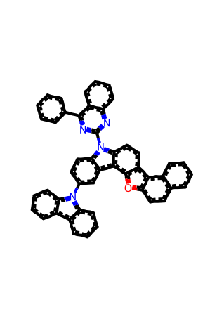 c1ccc(-c2nc(-n3c4ccc(-n5c6ccccc6c6ccccc65)cc4c4c5oc6ccc7ccccc7c6c5ccc43)nc3ccccc23)cc1